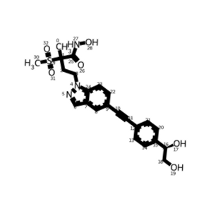 CC(CCn1ncc2cc(C#Cc3ccc([C@@H](O)CO)cc3)ccc21)(C(=O)NO)S(C)(=O)=O